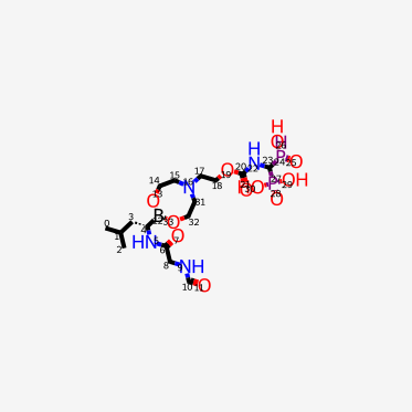 CC(C)C[C@@H](NC(=O)CNC=O)B1OCCN(CCOC(=O)NC([PH](=O)O)P(=O)(O)O)CCO1